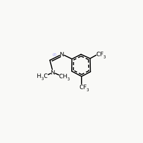 CN(C)/C=N\c1cc(C(F)(F)F)cc(C(F)(F)F)c1